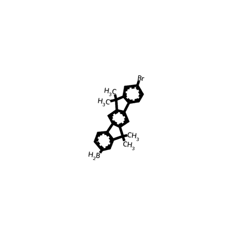 Bc1ccc2c(c1)C(C)(C)c1cc3c(cc1-2)C(C)(C)c1cc(Br)ccc1-3